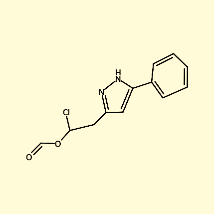 O=COC(Cl)Cc1cc(-c2ccccc2)[nH]n1